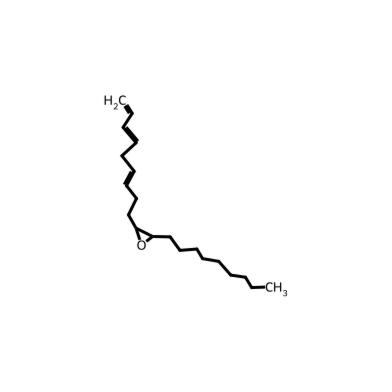 C=CC=CCC=CCCC1OC1CCCCCCCCC